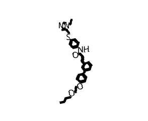 CCCCOCCOc1ccc(-c2cccc(/C=C/C(=O)Nc3ccc(SCc4cncn4CC)cc3)c2)cc1